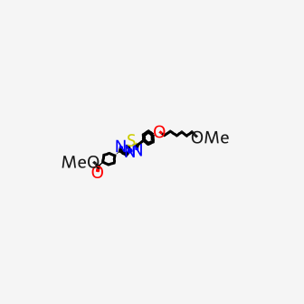 COCCCCCCOc1ccc(-c2nn3cc([C@H]4CC[C@H](C(=O)OC)CC4)nc3s2)cc1